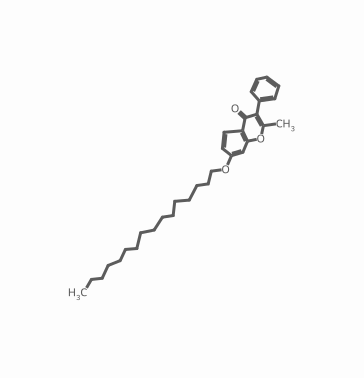 CCCCCCCCCCCCCCCCOc1ccc2c(=O)c(-c3ccccc3)c(C)oc2c1